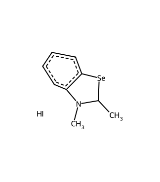 CC1[Se]c2ccccc2N1C.I